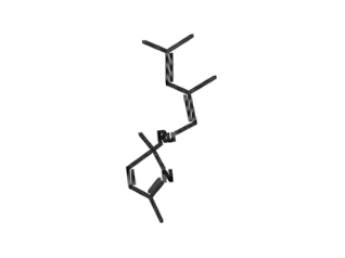 CC(C)=CC(C)=[CH][Ru][C]1(C)C=CC(C)=N1